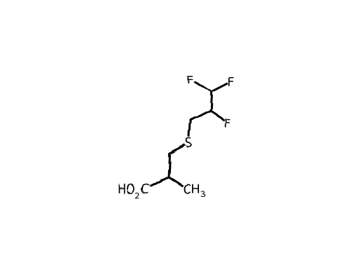 CC(CSCC(F)C(F)F)C(=O)O